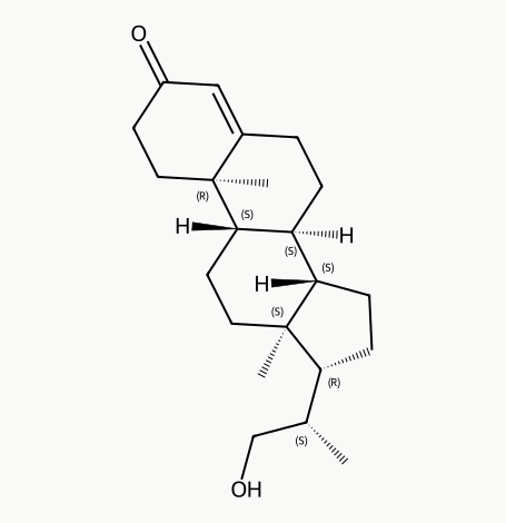 C[C@H](CO)[C@H]1CC[C@H]2[C@@H]3CCC4=CC(=O)CC[C@]4(C)[C@H]3CC[C@]12C